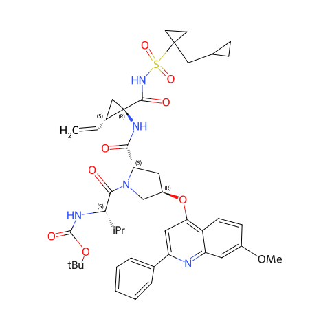 C=C[C@@H]1C[C@]1(NC(=O)[C@@H]1C[C@@H](Oc2cc(-c3ccccc3)nc3cc(OC)ccc23)CN1C(=O)[C@@H](NC(=O)OC(C)(C)C)C(C)C)C(=O)NS(=O)(=O)C1(CC2CC2)CC1